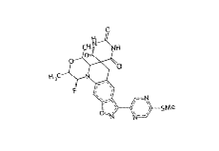 CSc1cnc(-c2noc3cc4c(cc23)CC2(C(=O)NC(=O)NC2=O)C2C(C)OC(C)C(F)N42)cn1